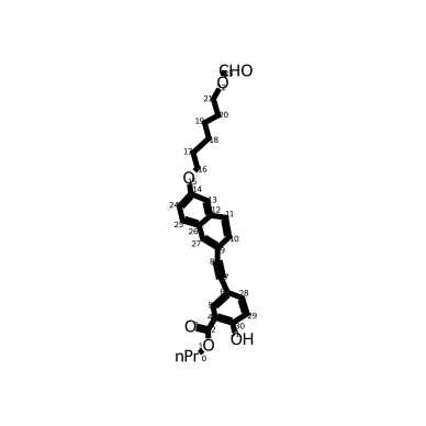 CCCOC(=O)c1cc(C#Cc2ccc3cc(OCCCCCCOC=O)ccc3c2)ccc1O